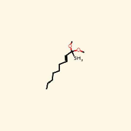 CCCCCCC=CC([SiH3])(OC)OC